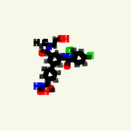 CN(CCO)C(=O)c1cc(NC(=O)c2ccc(Cl)cc2Cl)cc(-c2ccc(C(=O)NO)cc2)c1